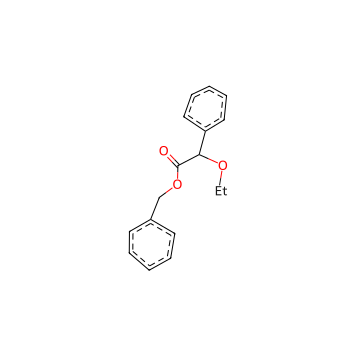 CCOC(C(=O)OCc1ccccc1)c1ccccc1